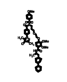 COc1ccc(S(=O)(=O)N(CCCOCCOc2ccc(C(=O)NC(C)Cc3ccc(-c4ccccc4)cc3)c(OC)c2OC)C(=O)c2ccc(-n3nc(C)c(Cl)c3C)cc2)cc1